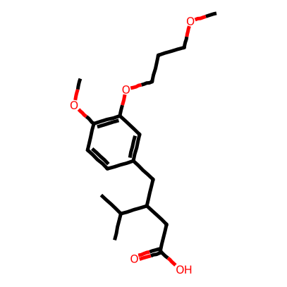 COCCCOc1cc(CC(CC(=O)O)C(C)C)ccc1OC